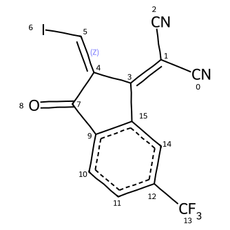 N#CC(C#N)=C1/C(=C/I)C(=O)c2ccc(C(F)(F)F)cc21